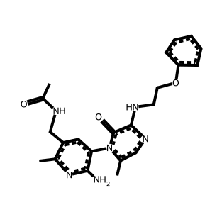 CC(=O)NCc1cc(-n2c(C)cnc(NCCOc3ccccc3)c2=O)c(N)nc1C